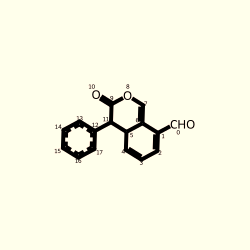 O=CC1=CC=CC2C1=COC(=O)C2c1ccccc1